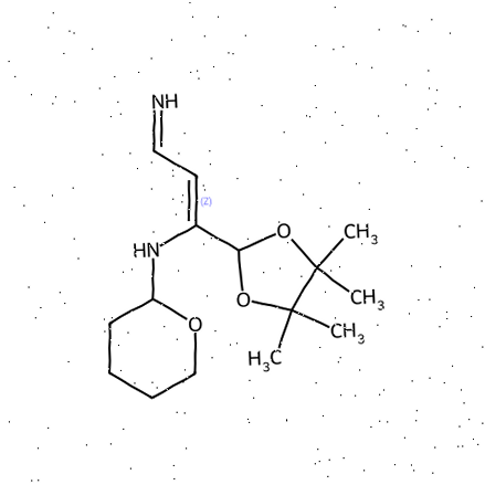 CC1(C)OC(/C(=C/C=N)NC2CCCCO2)OC1(C)C